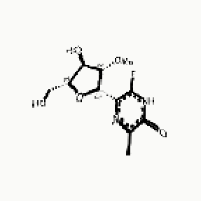 CO[C@H]1C(O)[C@@H](CO)O[C@H]1c1nc(C)c(=O)[nH]c1F